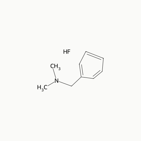 CN(C)Cc1ccccc1.F